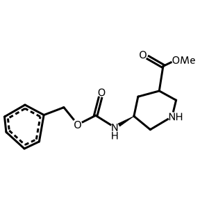 COC(=O)C1CNC[C@@H](NC(=O)OCc2ccccc2)C1